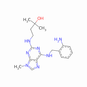 Cn1cnc2c(NCc3ccccc3N)nc(NCCC(C)(C)O)nc21